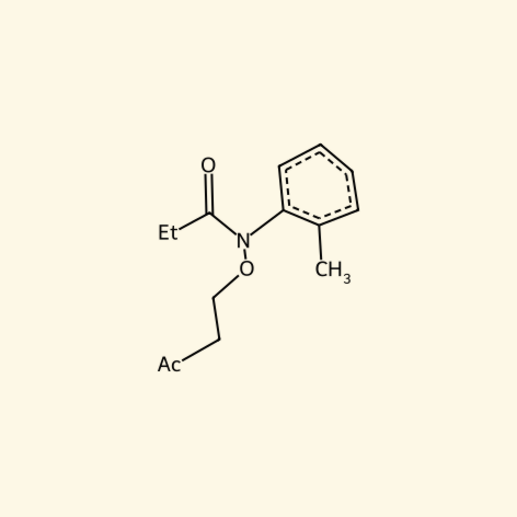 CCC(=O)N(OCCC(C)=O)c1ccccc1C